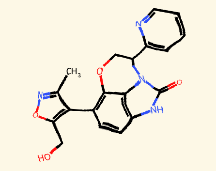 Cc1noc(CO)c1-c1ccc2[nH]c(=O)n3c2c1OCC3c1ccccn1